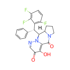 O=C1c2c(O)c(=O)cnn2[C@@H]([C@H](c2ccccc2)c2c(F)ccc(F)c2F)[C@H]2CCCN12